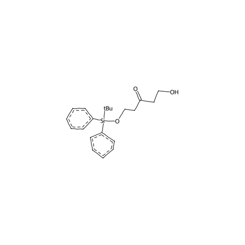 CC(C)(C)[Si](OCCC(=O)CCO)(c1ccccc1)c1ccccc1